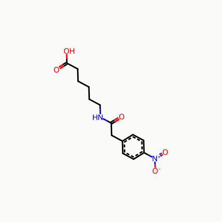 O=C(O)CCCCCNC(=O)Cc1ccc([N+](=O)[O-])cc1